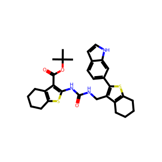 CC(C)(C)OC(=O)c1c(NC(=O)NCc2c(-c3ccc4cc[nH]c4c3)sc3c2CCCC3)sc2c1CCCC2